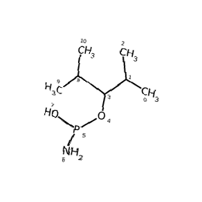 CC(C)C(OP(N)O)C(C)C